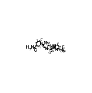 NC(=O)c1ccc(F)c(-c2cnc(NC3(c4cccc(OC(F)F)n4)CCC3)nn2)c1